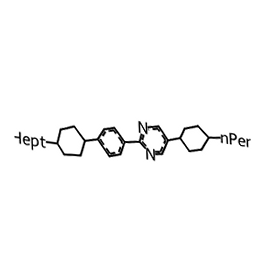 CCCCCCCC1CCC(c2ccc(-c3ncc(C4CCC(CCCCC)CC4)cn3)cc2)CC1